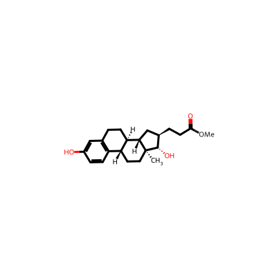 COC(=O)CC[C@@H]1C[C@H]2[C@@H]3CCc4cc(O)ccc4[C@H]3CC[C@]2(C)[C@H]1O